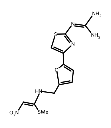 CS/C(=C\[N+](=O)[O-])NCc1ccc(-c2csc(N=C(N)N)n2)o1